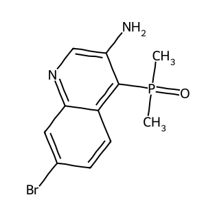 CP(C)(=O)c1c(N)cnc2cc(Br)ccc12